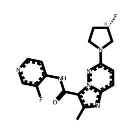 Cc1nc2ccc(N3CC[C@H](F)C3)nn2c1C(=O)Nc1ccncc1F